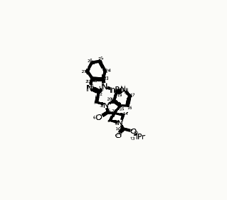 CCCCn1c(CN2C(=O)C3(CN(C(=O)OC(C)C)C3)c3ccncc32)nc2c1CCCC2